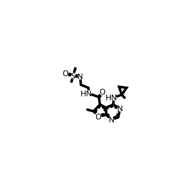 Cc1oc2ncnc(NC3(C)CC3)c2c1C(=O)NCCN=S(C)(C)=O